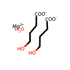 O.O=C([O-])CCCO.O=C([O-])CCCO.[Mg+2]